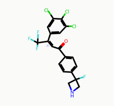 O=C(/C=C(\c1cc(Cl)c(Cl)c(Cl)c1)C(F)(F)F)c1ccc(C2(F)CNC2)cc1